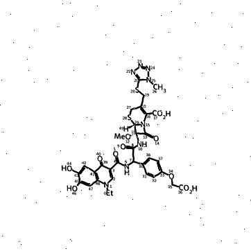 CCn1cc(C(=O)NC(C(=O)N[C@]2(OC)C(=O)N3C(C(=O)O)=C(CSc4nnnn4C)CS[C@H]32)c2ccc(OCC(=O)O)cc2)c(=O)c2cc(O)c(O)cc21